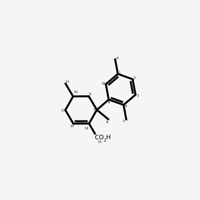 Cc1ccc(C)c(C2(C)CC(C)CC=C2C(=O)O)c1